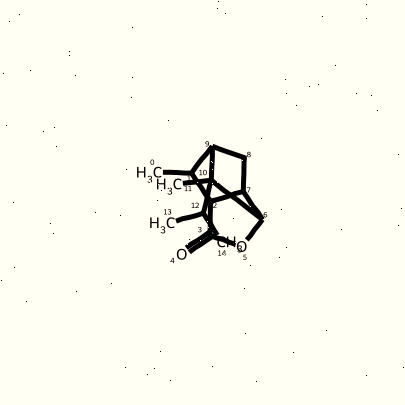 CC1C2C(=O)OC3C2CC1C3(C)C(C)C